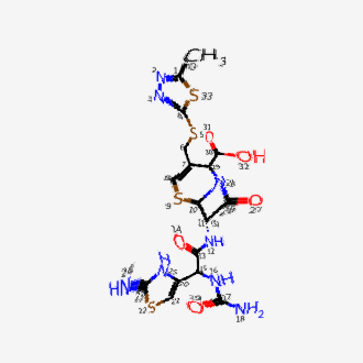 Cc1nnc(SCC2=CSC3[C@@H](NC(=O)C(NC(N)=O)c4csc(=N)[nH]4)C(=O)N3C2C(=O)O)s1